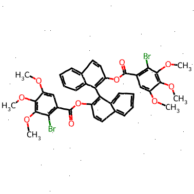 COc1cc(C(=O)Oc2ccc3ccccc3c2-c2c(OC(=O)c3cc(OC)c(OC)c(OC)c3Br)ccc3ccccc23)c(Br)c(OC)c1OC